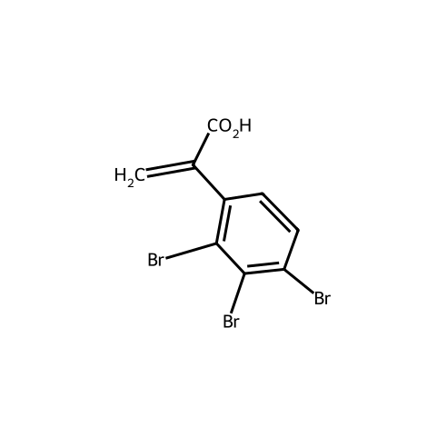 C=C(C(=O)O)c1ccc(Br)c(Br)c1Br